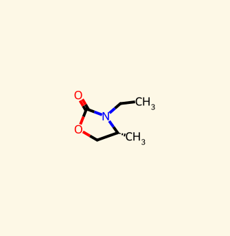 CCN1C(=O)OC[C@H]1C